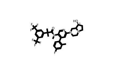 Cc1cc(F)ccc1-c1cc(N2CCN3CC[C@H](O)C3C2)ncc1N(C)C(=O)C(C)(C)c1cc(C(F)(F)F)cc(C(F)(F)F)c1